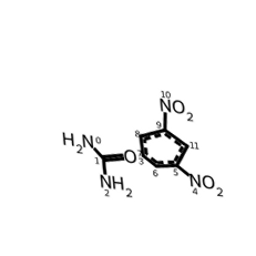 NC(N)=O.O=[N+]([O-])c1cccc([N+](=O)[O-])c1